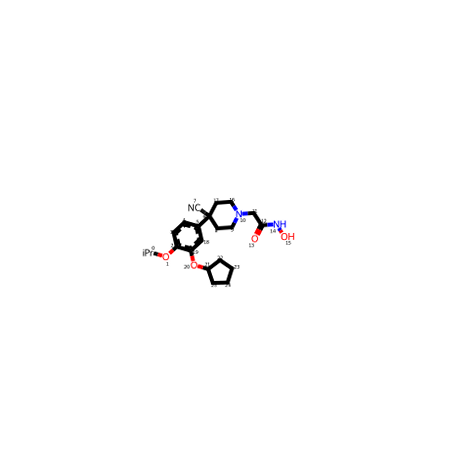 CC(C)Oc1ccc(C2(C#N)CCN(CC(=O)NO)CC2)cc1OC1CCCC1